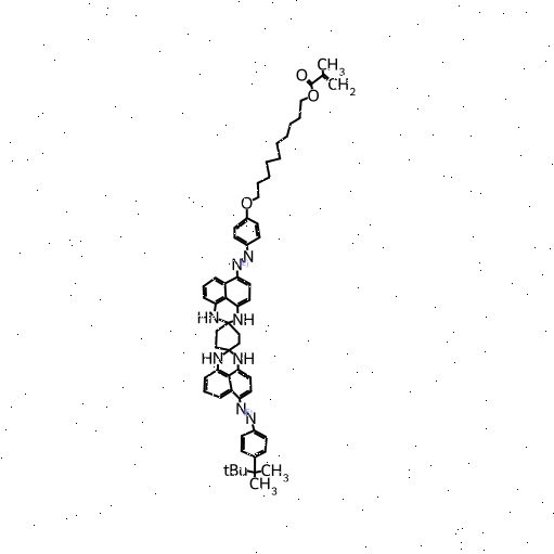 C=C(C)C(=O)OCCCCCCCCCCOc1ccc(/N=N/c2ccc3c4c(cccc24)NC2(CCC4(CC2)Nc2cccc5c(/N=N/c6ccc(C(C)(C)C(C)(C)C)cc6)ccc(c25)N4)N3)cc1